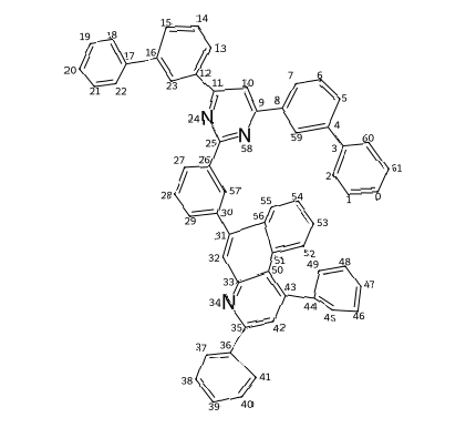 c1ccc(-c2cccc(-c3cc(-c4cccc(-c5ccccc5)c4)nc(-c4cccc(-c5cc6nc(-c7ccccc7)cc(-c7ccccc7)c6c6ccccc56)c4)n3)c2)cc1